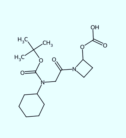 CC(C)(C)OC(=O)N(CC(=O)N1CCC1OC(=O)O)C1CCCCC1